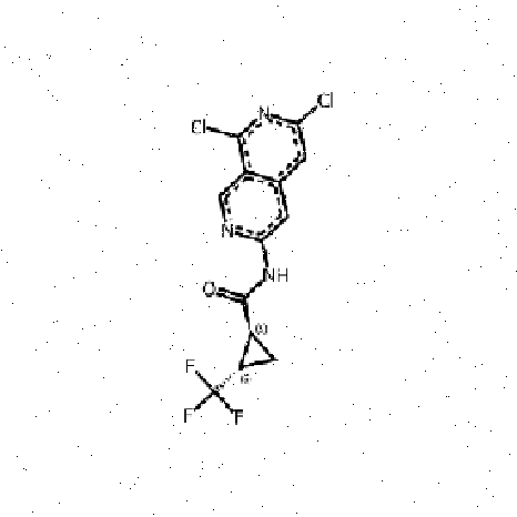 O=C(Nc1cc2cc(Cl)nc(Cl)c2cn1)[C@H]1C[C@@H]1C(F)(F)F